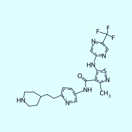 Cc1nsc(Nc2cnc(C(F)(F)F)cn2)c1C(=O)Nc1ccc(CCC2CCNCC2)nc1